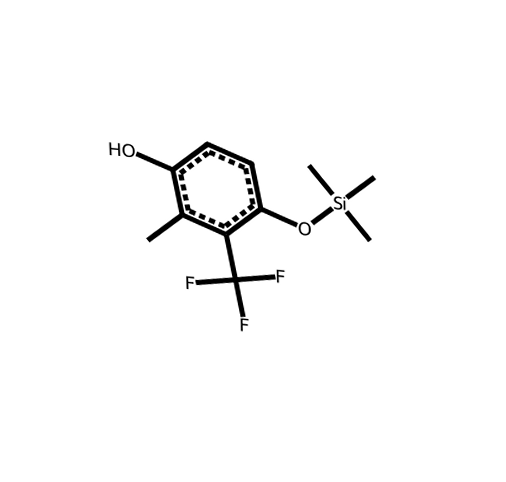 Cc1c(O)ccc(O[Si](C)(C)C)c1C(F)(F)F